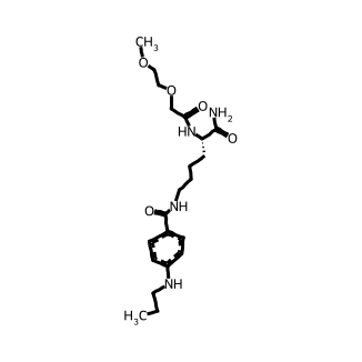 CCCNc1ccc(C(=O)NCCCC[C@H](NC(=O)COCCOC)C(N)=O)cc1